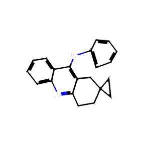 c1ccc(Nc2c3c(nc4ccccc24)CCC2(CC2)C3)cc1